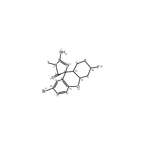 CN1C(=O)C2(N=C1N)c1cc(Br)ccc1OC1CC(F)CCC12